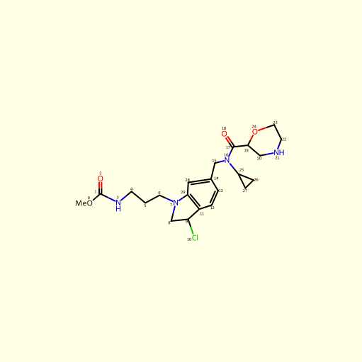 COC(=O)NCCCN1CC(Cl)c2ccc(CN(C(=O)C3CNCCO3)C3CC3)cc21